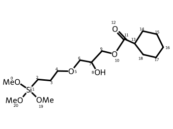 CO[Si](CCCOCC(O)COC(=O)C1CCCCC1)(OC)OC